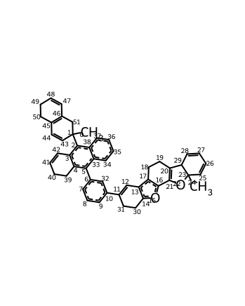 CC1(c2c3c(c(-c4cccc(C5=Cc6c(oc7c6CCC6=C7OC7(C)C=CC=CC67)CC5)c4)c4ccccc24)CCC=C3)C=CC2=C(C=CCC2)C1